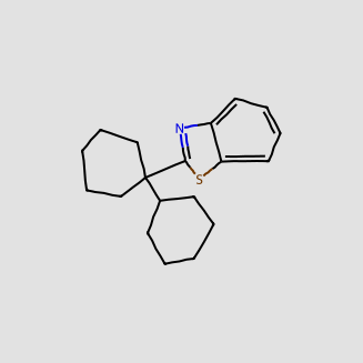 c1ccc2sc(C3(C4CCCCC4)CCCCC3)nc2c1